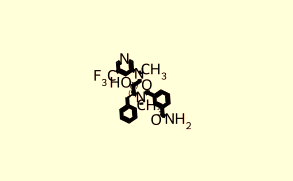 CN(C[C@@H](O)[C@H](Cc1ccccc1)N(C)C(=O)c1cccc(C(N)=O)c1)c1cncc(C(F)(F)F)c1